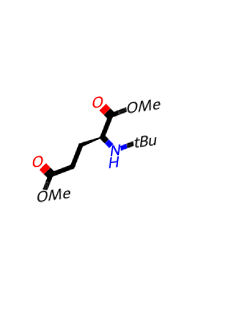 COC(=O)CC[C@H](NC(C)(C)C)C(=O)OC